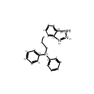 CCCP(c1ccccc1)c1ccccc1.c1ccc2[nH]nnc2c1